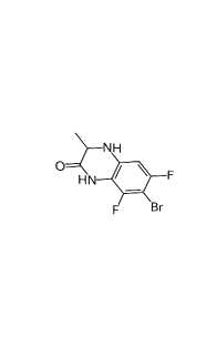 CC1Nc2cc(F)c(Br)c(F)c2NC1=O